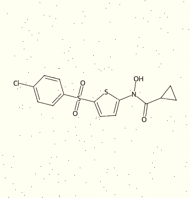 O=C(C1CC1)N(O)c1ccc(S(=O)(=O)c2ccc(Cl)cc2)s1